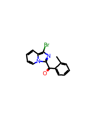 Cc1ccccc1C(=O)c1nc(Br)c2ccccn12